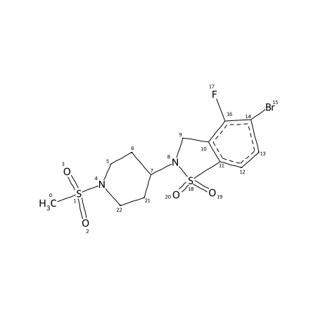 CS(=O)(=O)N1CCC(N2Cc3c(ccc(Br)c3F)S2(=O)=O)CC1